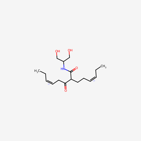 CC/C=C\CCC(C(=O)C/C=C\CC)C(=O)NC(CO)CO